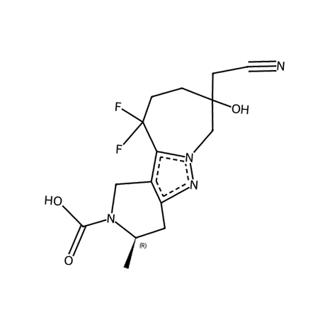 C[C@@H]1Cc2nn3c(c2CN1C(=O)O)C(F)(F)CCC(O)(CC#N)C3